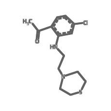 CC(=O)c1ccc(Cl)cc1NCCN1CCSCC1